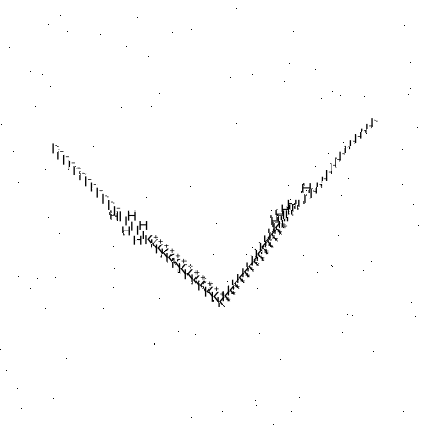 I.I.I.I.I.I.I.I.I.I.[I-].[I-].[I-].[I-].[I-].[I-].[I-].[I-].[I-].[I-].[I-].[I-].[I-].[I-].[I-].[I-].[I-].[I-].[I-].[I-].[I-].[I-].[I-].[I-].[I-].[K+].[K+].[K+].[K+].[K+].[K+].[K+].[K+].[K+].[K+].[K+].[K+].[K+].[K+].[K+].[K+].[K+].[K+].[K+].[K+].[K+].[K+].[K+].[K+].[K+]